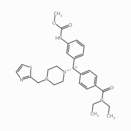 CCN(CC)C(=O)c1ccc([C@@H](c2cccc(NC(=O)OC)c2)N2CCN(Cc3nccs3)CC2)cc1